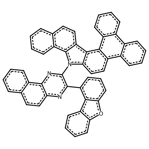 c1ccc2c(c1)ccc1nc(-c3cccc4oc5ccccc5c34)c(-n3c4ccc5c6ccccc6c6ccccc6c5c4c4ccc5ccccc5c43)nc12